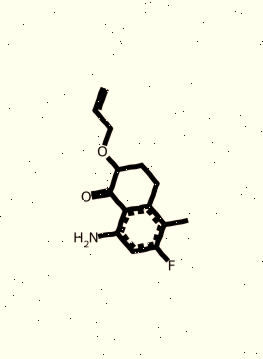 C=CCOC1CCc2c(C)c(F)cc(N)c2C1=O